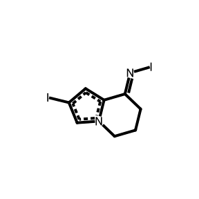 I/N=C1\CCCn2cc(I)cc21